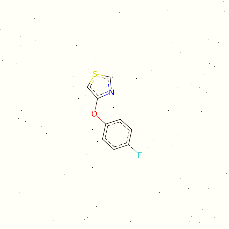 Fc1ccc(Oc2cs[c]n2)cc1